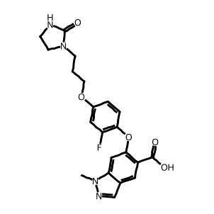 Cn1ncc2cc(C(=O)O)c(Oc3ccc(OCCCN4CCNC4=O)cc3F)cc21